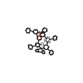 C1=C(c2ccccc2)C=C2C(Oc3c(-c4ccc5c(c4)c4cc(-c6ccccc6)ccc4n5-c4ccccc4)cc(-c4ccccc4)cc3C23c2ccccc2-c2ccccc23)C1c1nc(-c2ccccc2)nc(-c2ccccc2)n1